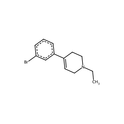 CCN1CC=C(c2cccc(Br)c2)CC1